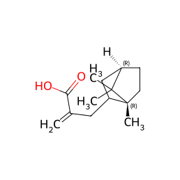 C=C(CC1C[C@H]2CC[C@@]1(C)C2(C)C)C(=O)O